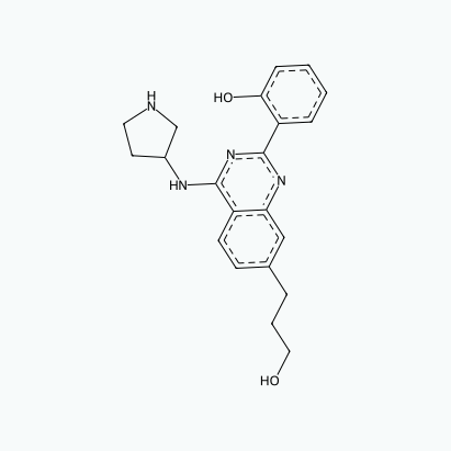 OCCCc1ccc2c(NC3CCNC3)nc(-c3ccccc3O)nc2c1